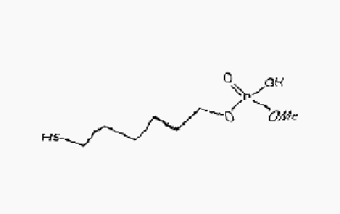 COP(=O)(O)OCCCCCCS